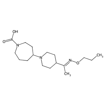 CCCON=C(C)C1CCN(C2CCCN(C(=O)O)CC2)CC1